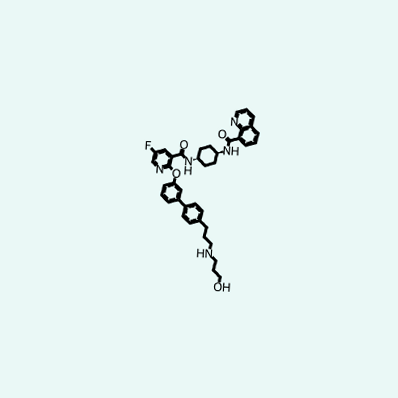 O=C(N[C@H]1CC[C@H](NC(=O)c2cccc3cccnc23)CC1)c1cc(F)cnc1Oc1cccc(-c2ccc(CCCNCCCO)cc2)c1